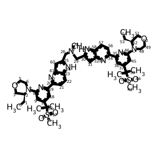 CC[C@H]1COCCN1c1cc(C(C)(C)S(C)(=O)=O)cc(-c2ccc3[nH]c(CN(C)Cc4cc5nc(-c6cc(C(C)(C)S(C)(=O)=O)cc(N7CCOC[C@@H]7CC)n6)ccc5[nH]4)cc3n2)n1